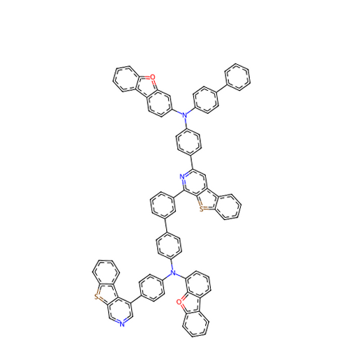 c1ccc(-c2ccc(N(c3ccc(-c4cc5c(sc6ccccc65)c(-c5cccc(-c6ccc(N(c7ccc(-c8cncc9sc%10ccccc%10c89)cc7)c7cccc8c7oc7ccccc78)cc6)c5)n4)cc3)c3ccc4c(c3)oc3ccccc34)cc2)cc1